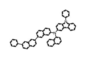 c1ccc(-c2ccc3ccc(-c4ccc5ccc(N(c6ccc7c(c6)c6ccccc6n7-c6ccccc6)c6cccc7ccccc67)cc5c4)cc3c2)cc1